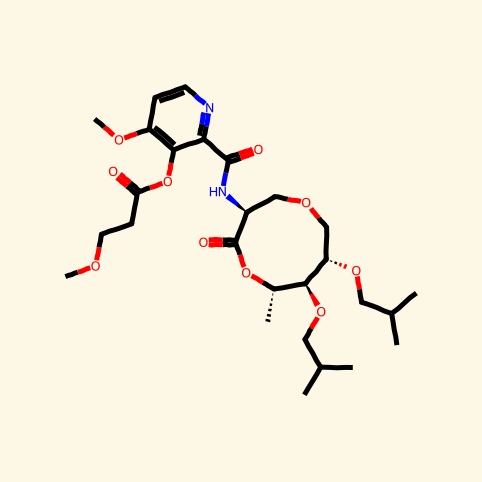 COCCC(=O)Oc1c(OC)ccnc1C(=O)N[C@H]1COC[C@H](OCC(C)C)[C@@H](OCC(C)C)[C@H](C)OC1=O